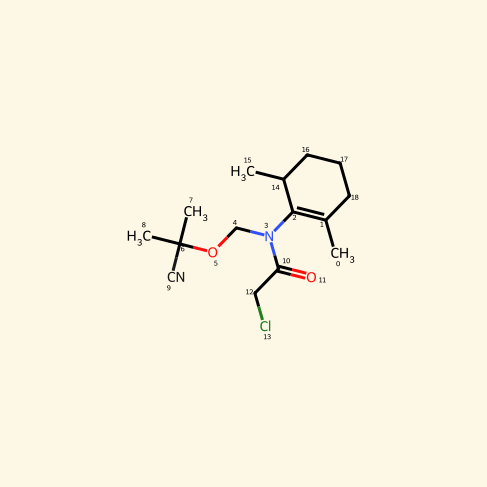 CC1=C(N(COC(C)(C)C#N)C(=O)CCl)C(C)CCC1